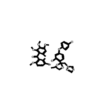 CC1COC(Cn2cncn2)(c2ccc(Oc3ccc(Cl)cc3)cc2Cl)O1.COc1cc(C)c(C(=O)c2c(OC)ccc(Br)c2C)c(OC)c1OC